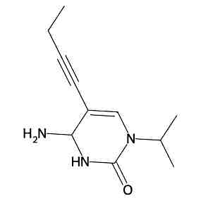 CCC#CC1=CN(C(C)C)C(=O)NC1N